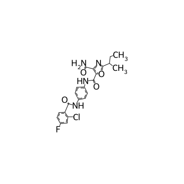 CCC(C)c1nc(C(N)=O)c(C(=O)Nc2ccc(NC(=O)c3ccc(F)cc3Cl)cc2)o1